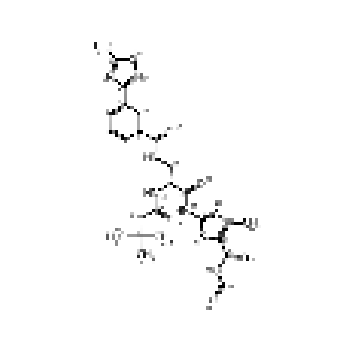 Cc1nc(-c2cccc(C(=O)NC[C@H](NC(=O)OC(C)(C)C)C(=O)Nc3nc(C)c(C(=O)OC=O)s3)c2)no1